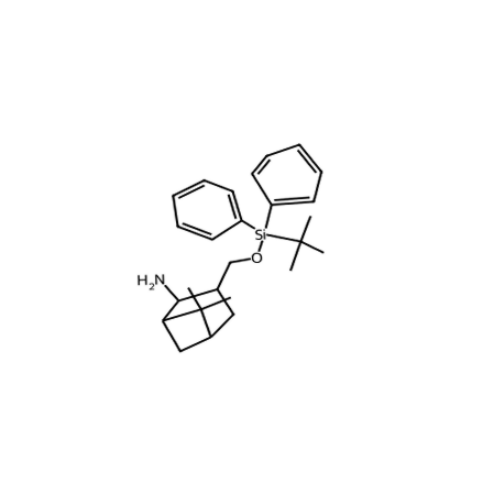 CC1(C)C2CC(CO[Si](c3ccccc3)(c3ccccc3)C(C)(C)C)C(N)C1C2